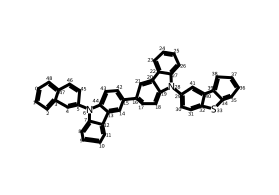 c1ccc2cc(-n3c4ccccc4c4cc(-c5ccc6c(c5)c5ccccc5n6-c5ccc6sc7ccccc7c6c5)ccc43)ccc2c1